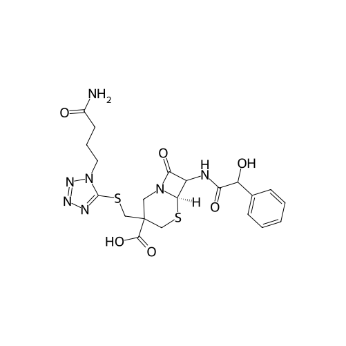 NC(=O)CCCn1nnnc1SCC1(C(=O)O)CS[C@@H]2C(NC(=O)C(O)c3ccccc3)C(=O)N2C1